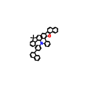 CC1(C)c2ccccc2-c2c(N(c3ccc(-c4cccc5ccccc45)cc3)c3ccccc3-c3cccc4c3oc3c5ccccc5ccc43)cccc21